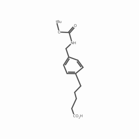 CC(C)(C)OC(=O)NCc1ccc(CCCCC(=O)O)cc1